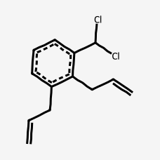 C=CCc1cccc(C(Cl)Cl)c1CC=C